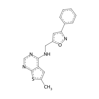 Cc1cc2c(NCc3cc(-c4ccccc4)no3)ncnc2s1